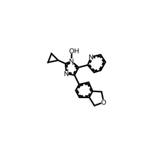 On1c(C2CC2)nc(-c2ccc3c(c2)COC3)c1-c1ccccn1